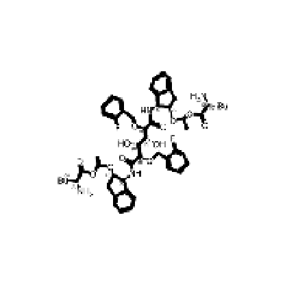 CC[C@H](C)[C@H](N)C(=O)OC(C)O[C@@H]1Cc2ccccc2[C@@H]1NC(=O)[C@H](OCc1ccccc1F)[C@H](O)[C@@H](O)[C@@H](OCc1ccccc1F)C(=O)N[C@H]1c2ccccc2C[C@H]1OC(C)OC(=O)[C@@H](N)[C@@H](C)CC